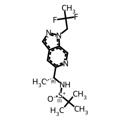 C[C@@H](N[S@+]([O-])C(C)(C)C)c1cc2cnn(CC(C)(F)F)c2cn1